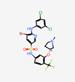 CN1CC[C@@H](Oc2cc(NS(=O)(=O)c3cnc(Nc4cc(Cl)cc(Cl)c4)c(Br)c3)ccc2C(F)(F)F)C1